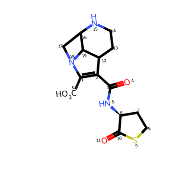 O=C(O)C1=C(C(=O)N[C@H]2CCSC2=O)C2CCNC3CN1C32